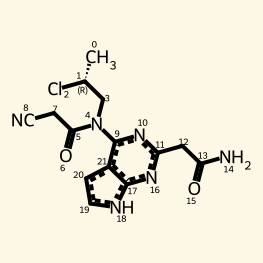 C[C@@H](Cl)CN(C(=O)CC#N)c1nc(CC(N)=O)nc2[nH]ccc12